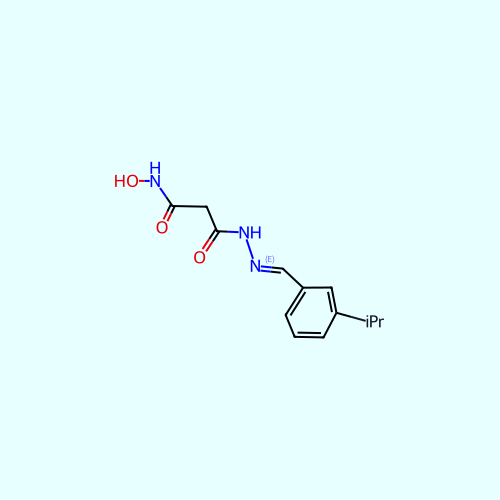 CC(C)c1cccc(/C=N/NC(=O)CC(=O)NO)c1